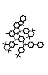 Cc1cc2c3c(c1)N(c1cc4c(cc1C)C(C)(C)CCC4(C)C)c1cc(N(c4ccc(-c5ccccc5)cc4)c4ccc(C(C)(C)C)cc4)ccc1B3N(c1ccc3c(c1)C(C)(C)CCC3(C)C)c1c-2ccc2c1sc1ccccc12